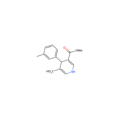 COC(=O)C1=CNC=C(C(=O)O)C1c1cccc(C)c1